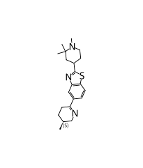 C[C@H]1CCC(c2ccc3sc(C4CCN(C)C(C)(C)C4)nc3c2)=NC1